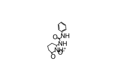 O=C(Nc1ccccc1)NC1CCCC(=O)[NH+]1[O-]